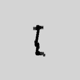 C=C1CCC[C@@H](CCCOc2ccc(OCCCCCCCCCCCP(=O)(O)O)cc2)C1